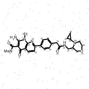 CCn1c(N)c(C(=O)NC)c(=O)c2ccc(-c3ccc(CC(=O)NCC4COCCN4C4CC4)cc3)nc21